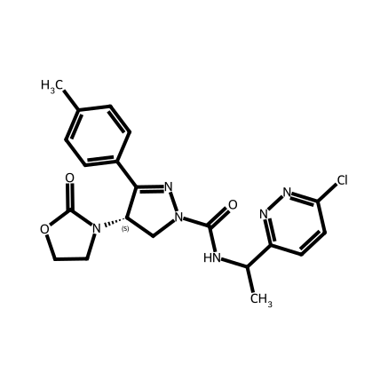 Cc1ccc(C2=NN(C(=O)NC(C)c3ccc(Cl)nn3)C[C@@H]2N2CCOC2=O)cc1